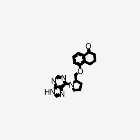 O=C1CCCc2c(OCC3CCCN3c3ncnc4[nH]cnc34)cccc21